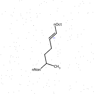 [CH2]CCCCCCC/C=C/CCC(C)CCCCCCCC[CH2]